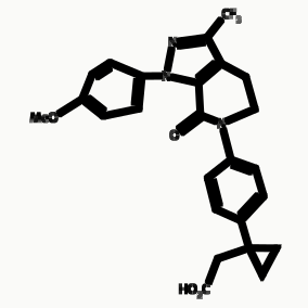 COc1ccc(-n2nc(C(F)(F)F)c3c2C(=O)N(c2ccc(C4(CC(=O)O)CC4)cc2)CC3)cc1